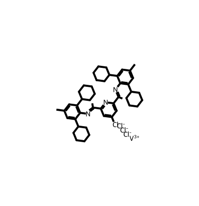 CC(=Nc1c(C2CCCCC2)cc(C)cc1C1CCCCC1)c1cc(Cl)cc(C(C)=Nc2c(C3CCCCC3)cc(C)cc2C2CCCCC2)n1.[Cl-].[Cl-].[Cl-].[V+3]